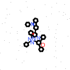 c1ccc(-c2nc(-c3ccccc3)nc(-c3cc4c5ccccc5oc4c4c5ccccc5n(-c5cccc(-c6ccc7c8ccccc8n(-c8ccccc8)c7c6)c5)c34)n2)cc1